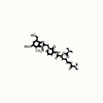 COc1cc(CC(C)(C)C)c2nc(Cn3cccc(NC(=O)C(CC/C=C/C(=O)N(C)C)OC(=O)N(C)C)c3=O)n(C(=O)O)c2c1